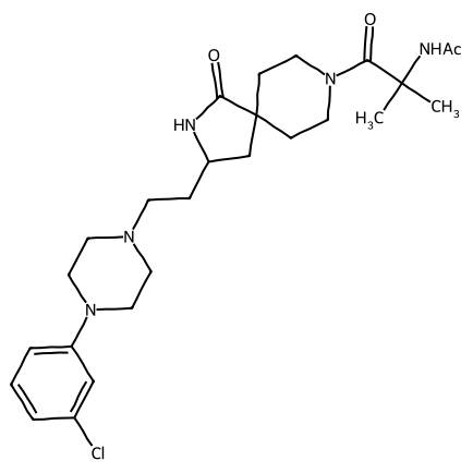 CC(=O)NC(C)(C)C(=O)N1CCC2(CC1)CC(CCN1CCN(c3cccc(Cl)c3)CC1)NC2=O